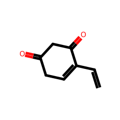 C=CC1=CCC(=O)CC1=O